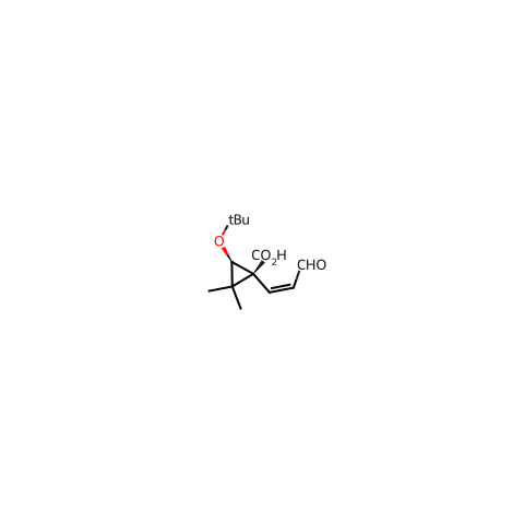 CC(C)(C)O[C@@H]1C(C)(C)[C@]1(/C=C\C=O)C(=O)O